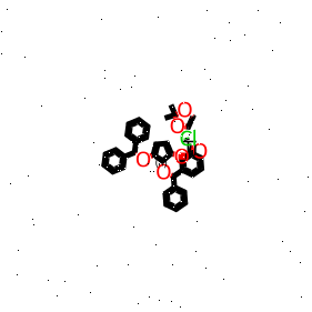 CC1(C)OCCO1.[O]=[Ti]([Cl])[O]C1=CC=C(OC(c2ccccc2)c2ccccc2)[C@H]1OC(c1ccccc1)c1ccccc1